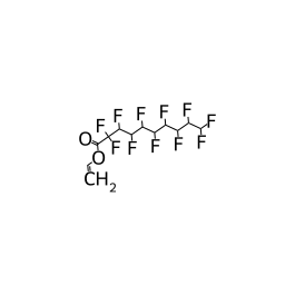 C=COC(=O)C(F)(F)C(F)C(F)C(F)C(F)C(F)C(F)C(F)C(F)F